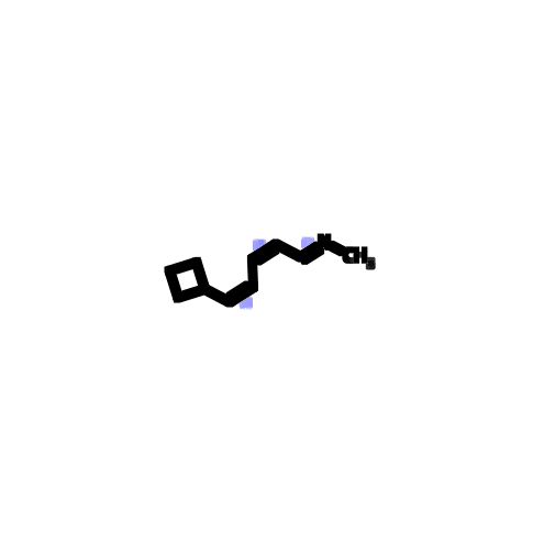 C/N=C/C=C\C=C/C1CCC1